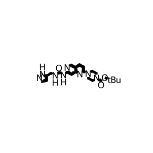 CC(C)(C)OC(=O)N1CCN(c2ccc3cnc(NC(=O)NCc4ccn[nH]4)cc3n2)CC1